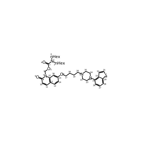 CCCCCCN(CCCCCC)C(=O)OCn1c(=O)ccc2ccc(OCCCCN3CCN(c4cccc5sccc45)CC3)cc21